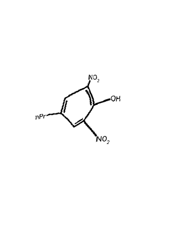 CCCc1cc([N+](=O)[O-])c(O)c([N+](=O)[O-])c1